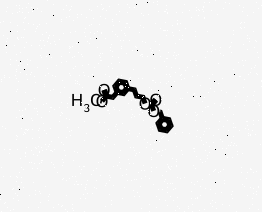 COC(=O)Cc1cccc(CCCOC(=O)OCc2ccccc2)c1